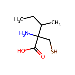 CCC(C)C(N)(CS)C(=O)O